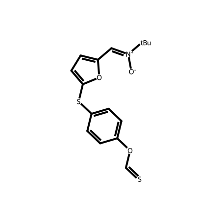 CC(C)(C)[N+]([O-])=Cc1ccc(Sc2ccc(OC=S)cc2)o1